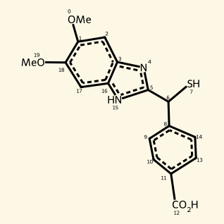 COc1cc2nc(C(S)c3ccc(C(=O)O)cc3)[nH]c2cc1OC